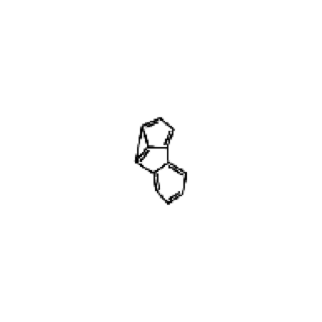 c1ccc2c(c1)c1ccc3c2c13